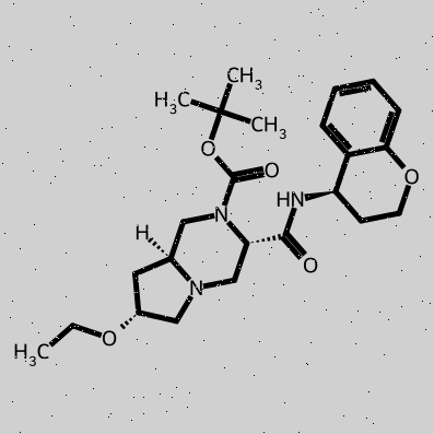 CCO[C@@H]1C[C@H]2CN(C(=O)OC(C)(C)C)[C@H](C(=O)N[C@@H]3CCOc4ccccc43)CN2C1